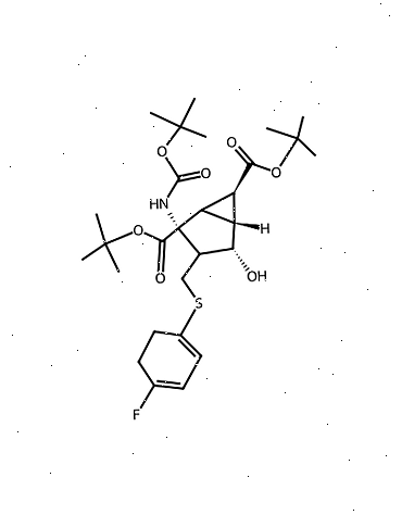 CC(C)(C)OC(=O)N[C@@]1(C(=O)OC(C)(C)C)C(CSC2=CC=C(F)CC2)[C@@H](O)[C@@H]2C1[C@H]2C(=O)OC(C)(C)C